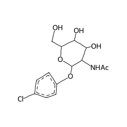 CC(=O)NC1C(Oc2ccc(Cl)cc2)OC(CO)C(O)C1O